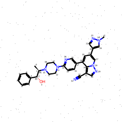 C[C@H]([C@H](O)c1ccccc1)N1CCN(c2ccc(-c3cc(-c4cnn(C)c4)cn4ncc(C#N)c34)cn2)CC1